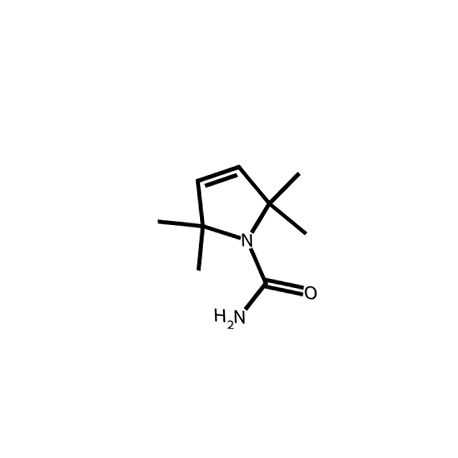 CC1(C)C=CC(C)(C)N1C(N)=O